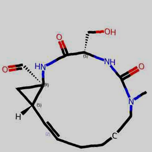 CN1CCCC/C=C\[C@@H]2C[C@@]2(C=O)NC(=O)[C@H](CO)NC1=O